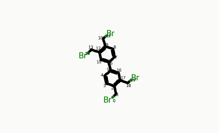 BrCc1ccc(-c2ccc(CBr)c(CBr)c2)cc1CBr